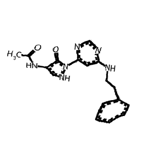 CC(=O)Nc1c[nH]n(-c2cc(NCCc3ccccc3)ncn2)c1=O